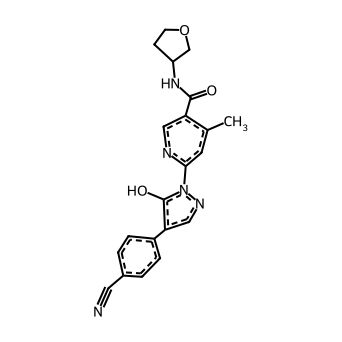 Cc1cc(-n2ncc(-c3ccc(C#N)cc3)c2O)ncc1C(=O)NC1CCOC1